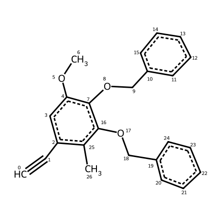 C#Cc1cc(OC)c(OCc2ccccc2)c(OCc2ccccc2)c1C